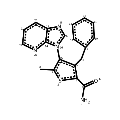 Cc1sc(C(N)=O)c(Cc2ccccc2)c1-n1cnc2cccnc21